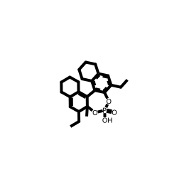 CCc1cc2c(c3c1OP(=O)(O)OC1(C)C3=C3CCCCC3=CC1CC)CCCC2